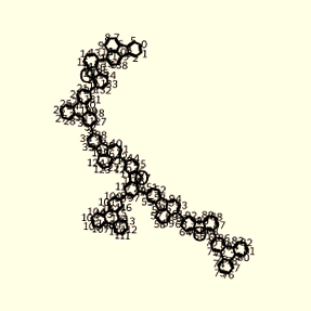 c1ccc2c(c1)-c1cccc3c(-c4cccc5oc6c(-c7ccc8c9ccccc9c9cc(-c%10ccc%11c(c%10)-c%10ccc(-c%12ccc%13oc%14c(-c%15ccc%16c(c%15)-c%15cccc%17c(-c%18ccc%19oc%20c(-c%21ccc%22c%23ccccc%23c%23ccccc%23c%22c%21)cccc%20c%19c%18)ccc-%16c%15%17)cc(-c%15ccc%16c%17ccccc%17c%17ccccc%17c%16c%15)cc%14c%13c%12)c%12cccc-%11c%10%12)ccc9c8c7)cccc6c45)ccc-2c13